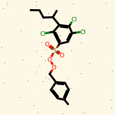 CCCC(C)c1c(Cl)c(Cl)cc(S(=O)(=O)OOCc2ccc(C)cc2)c1Cl